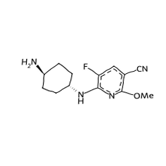 COc1nc(N[C@H]2CC[C@H](N)CC2)c(F)cc1C#N